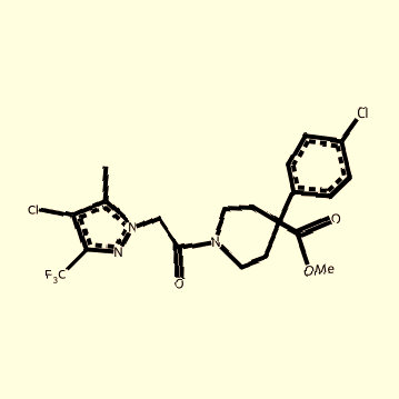 COC(=O)C1(c2ccc(Cl)cc2)CCN(C(=O)Cn2nc(C(F)(F)F)c(Cl)c2C)CC1